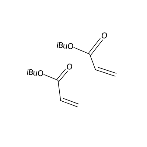 C=CC(=O)OCC(C)C.C=CC(=O)OCC(C)C